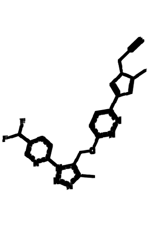 C#CCC1C=C(c2ccc(OCc3c(C)nnn3-c3ccc(C(F)F)cn3)nn2)C=C1C